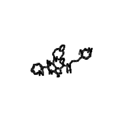 O=C(NCCc1ccncn1)c1csc2nc(-c3ccccn3)nc(N3CCOCC3)c12